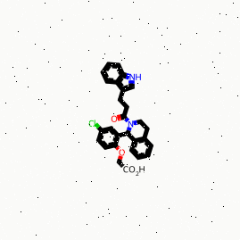 O=C(O)COc1ccc(Cl)cc1C1c2ccccc2CCN1C(=O)CCc1c[nH]c2ccccc12